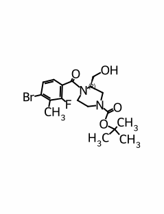 Cc1c(Br)ccc(C(=O)N2CCN(C(=O)OC(C)(C)C)C[C@@H]2CO)c1F